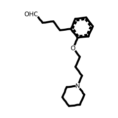 O=CCCCc1ccccc1OCCCN1CCCCC1